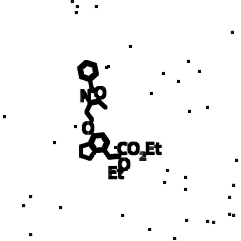 CCOC(=O)/C(=C\c1ccc(OCCc2nc(-c3ccccc3)oc2C)c2c1CCC2)OCC